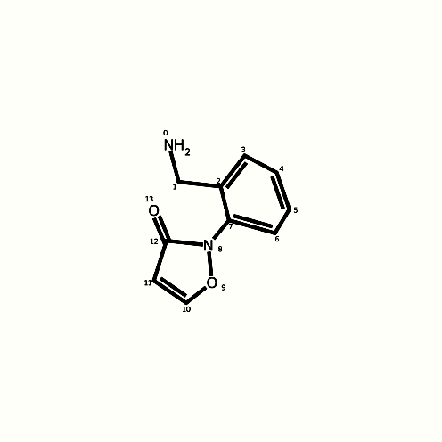 NCc1ccccc1-n1occc1=O